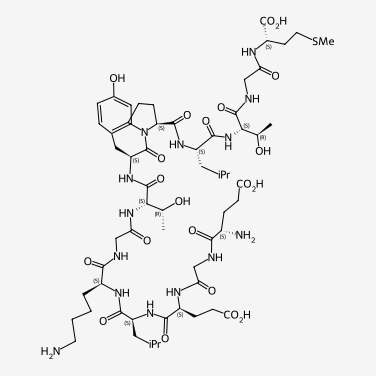 CSCC[C@H](NC(=O)CNC(=O)[C@@H](NC(=O)[C@H](CC(C)C)NC(=O)[C@@H]1CCCN1C(=O)[C@H](Cc1ccc(O)cc1)NC(=O)[C@@H](NC(=O)CNC(=O)[C@H](CCCCN)NC(=O)[C@H](CC(C)C)NC(=O)[C@H](CCC(=O)O)NC(=O)CNC(=O)[C@@H](N)CCC(=O)O)[C@@H](C)O)[C@@H](C)O)C(=O)O